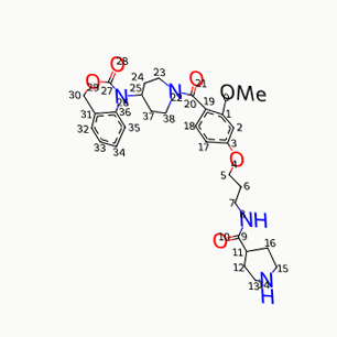 COc1cc(OCCCNC(=O)C2CCNCC2)ccc1C(=O)N1CCC(N2C(=O)OCc3ccccc32)CC1